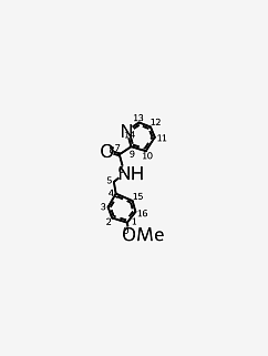 COc1ccc(CNC(=O)c2ccccn2)cc1